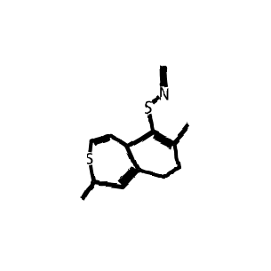 C=NSC1=C(C)CCC2=CC(C)SC=CC21